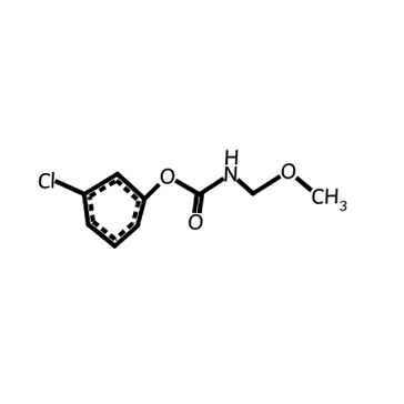 COCNC(=O)Oc1cccc(Cl)c1